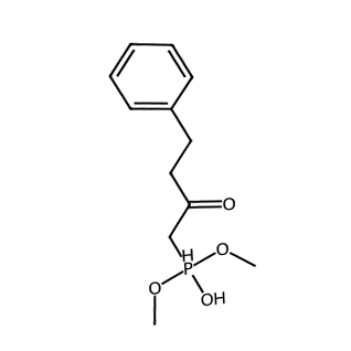 CO[PH](O)(CC(=O)CCc1ccccc1)OC